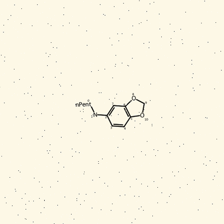 CCCCC[N]c1ccc2c(c1)OCO2